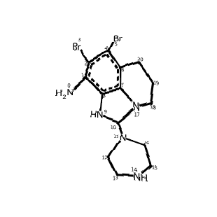 Nc1c(Br)c(Br)c2c3c1NC(N1CCNCC1)N3CCC2